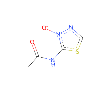 CC(=O)Nc1scn[n+]1[O-]